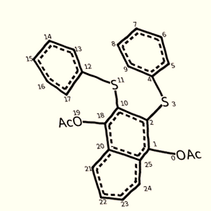 CC(=O)Oc1c(Sc2ccccc2)c(Sc2ccccc2)c(OC(C)=O)c2ccccc12